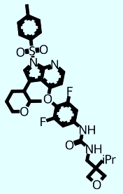 Cc1ccc(S(=O)(=O)n2cc(C3CCCOC3C)c3c(Oc4c(F)cc(NC(=O)NCC5(C(C)C)COC5)cc4F)ccnc32)cc1